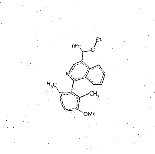 CCCC(OCC)c1cnc(-c2c(C)ccc(OC)c2C)c2ccccc12